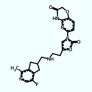 Cc1ncc(F)c2c1CC(CNCCc1cn(-c3ccc4c(n3)NC(=O)CO4)c(=O)o1)C2